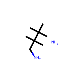 CC(C)(C)C(C)(C)CN.N